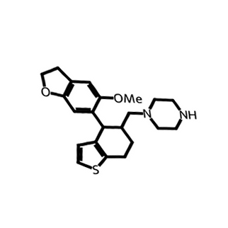 COc1cc2c(cc1C1c3ccsc3CCC1CN1CCNCC1)OCC2